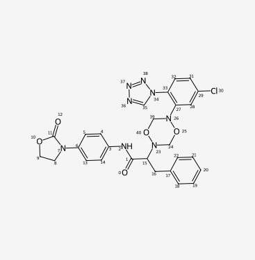 O=C(Nc1ccc(N2CCOC2=O)cc1)C(Cc1ccccc1)N1CON(c2cc(Cl)ccc2-n2cnnn2)CO1